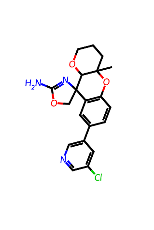 CC12CCCOC1C1(COC(N)=N1)c1cc(-c3cncc(Cl)c3)ccc1O2